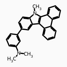 CN(C)c1cccc(-c2ccc3c(c2)c2c4ccccc4c4ccccc4c2n3C)c1